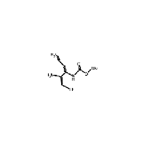 C=C/C=C(NC(=O)OC(C)(C)C)\C(N)=C/CC